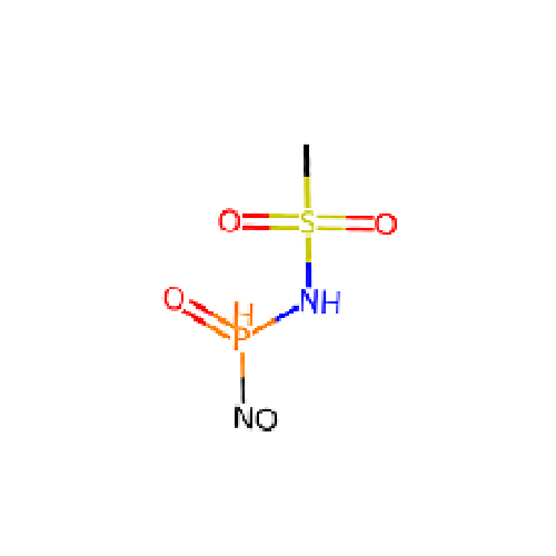 CS(=O)(=O)N[PH](=O)N=O